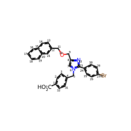 O=C(O)c1ccc(Cn2cc(COCc3ccc4ccccc4c3)nc2-c2ccc(Br)cc2)cc1